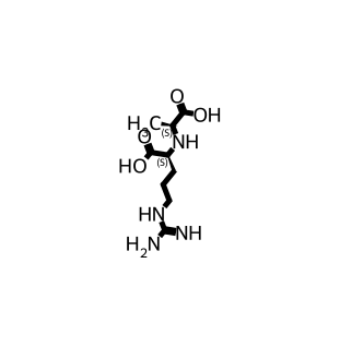 C[C@H](N[C@@H](CCCNC(=N)N)C(=O)O)C(=O)O